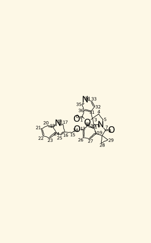 O=C1OC2(CCN(C(=O)C3(c4ccc(OCc5cnc6ccccc6c5)cc4)CC3)C2)c2ccncc21